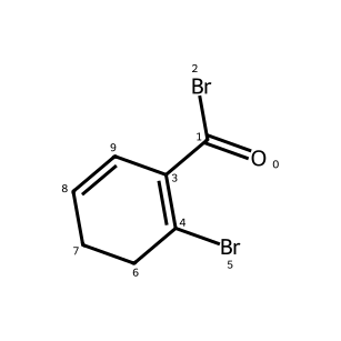 O=C(Br)C1=C(Br)CCC=C1